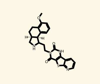 COc1cccc2c1CC[C@@H]1CNC(CCn3c(=O)[nH]c4c(sc5ncccc54)c3=O)[C@H]21